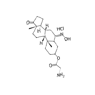 C[C@]12CCC(OC(=O)CN)CC1/C(=N\O)C[C@@H]1[C@H]2CC[C@]2(C)C(=O)CC[C@@H]12.Cl